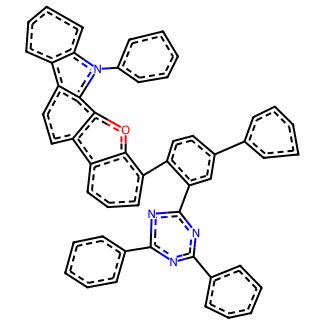 c1ccc(-c2ccc(-c3cccc4c3oc3c4ccc4c5ccccc5n(-c5ccccc5)c43)c(-c3nc(-c4ccccc4)nc(-c4ccccc4)n3)c2)cc1